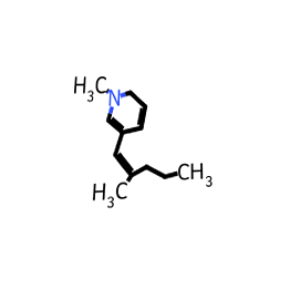 CCC/C(C)=C\C1=CN(C)CC=C1